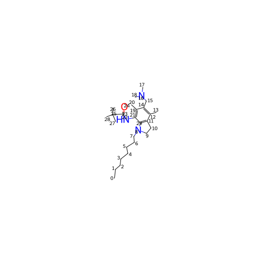 CCCCCCCCN1CCc2c(C)c(CN(C)C)c(C)c(NC(=O)C(C)(C)C)c21